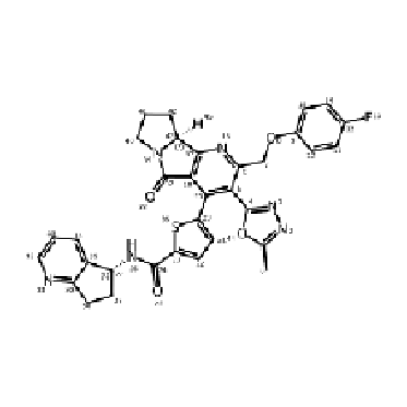 Cc1nnc(-c2c(COc3ccc(F)cc3)nc3c(c2-c2ccc(C(=O)N[C@@H]4CCc5ncccc54)s2)C(=O)N2CCC[C@@H]32)o1